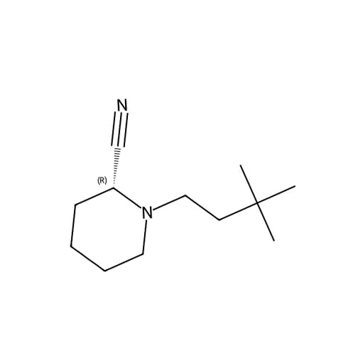 CC(C)(C)CCN1CCCC[C@@H]1C#N